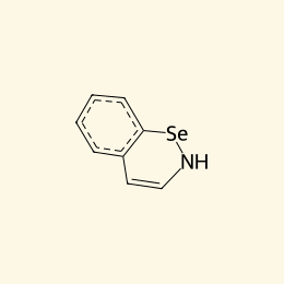 C1=Cc2ccccc2[Se]N1